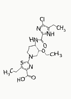 CCOC1CN(c2nc(C(=O)O)c(CC)s2)CCC1NC(=O)c1nc(Cl)c(CC)[nH]1